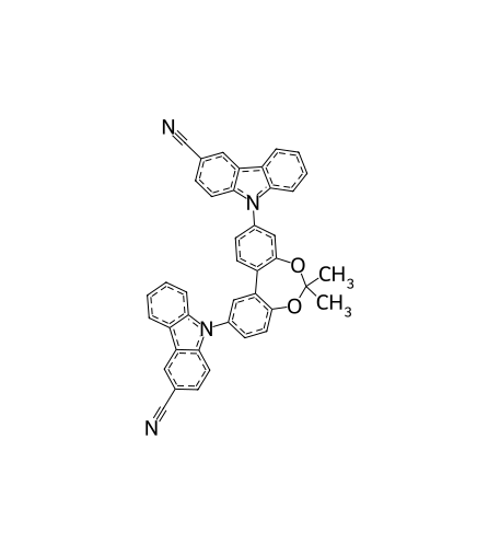 CC1(C)Oc2cc(-n3c4ccccc4c4cc(C#N)ccc43)ccc2-c2cc(-n3c4ccccc4c4cc(C#N)ccc43)ccc2O1